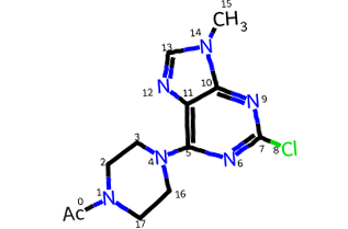 CC(=O)N1CCN(c2nc(Cl)nc3c2ncn3C)CC1